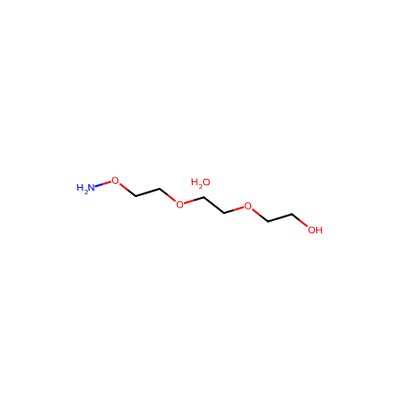 NOCCOCCOCCO.O